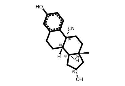 C[C@]12CC[C@]3(C#N)c4ccc(O)cc4CC[C@H]3[C@@H]1C[C@@H](O)C2